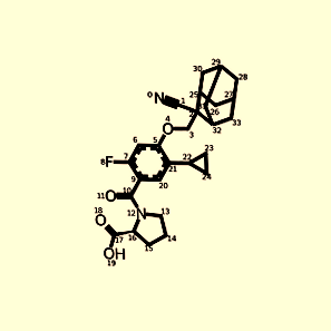 N#CC1(COc2cc(F)c(C(=O)N3CCC[C@H]3C(=O)O)cc2C2CC2)C2CC3CC(C2)CC1C3